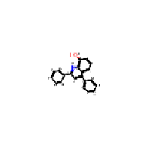 Oc1cccc2c(-c3ccccc3)cc(-c3ccccc3)nc12